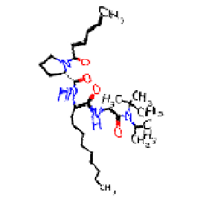 CCC/C=C/C(=O)N1CCC[C@H]1C(=O)NC(CCCCCCCC)C(=O)NCC(=O)N(C(C)C)C(C)(C)C